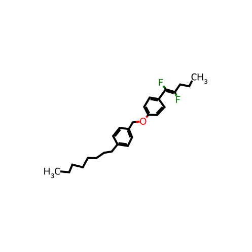 CCCCCCCCc1ccc(COc2ccc(/C(F)=C(\F)CCC)cc2)cc1